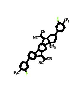 CC12C=CC(c3ccc(C(F)(F)F)c(F)c3)=CC1C(=C(C#N)C#N)c1cc3c(cc12)C(=C(C#N)C#N)c1cc(-c2ccc(C(F)(F)F)c(F)c2)ccc1-3